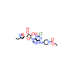 CCOC(=O)N1CCC(Nc2nc(Cl)nc3c2ncn3[C@@H]2O[C@H](c3cc(CC)no3)[C@@H](O)[C@H]2O)CC1